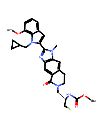 CCCOc1cccc2cc(-c3nc4cc5c(cc4n3C)CCN(C[C@@H](CF)NC(=O)OC(C)(C)C)C5=O)n(CC3CC3)c12